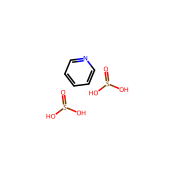 O=S(O)O.O=S(O)O.c1ccncc1